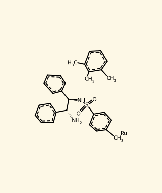 Cc1ccc(S(=O)(=O)N[C@H](c2ccccc2)[C@H](N)c2ccccc2)cc1.Cc1cccc(C)c1C.[Ru]